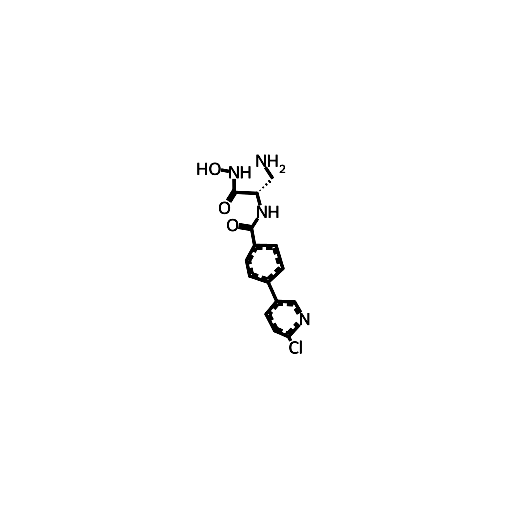 NC[C@H](NC(=O)c1ccc(-c2ccc(Cl)nc2)cc1)C(=O)NO